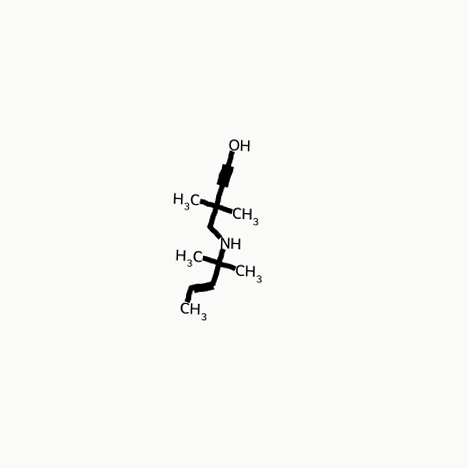 CC=CC(C)(C)NCC(C)(C)C#CO